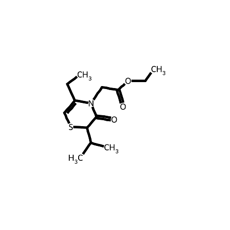 CCOC(=O)CN1C(=O)C(C(C)C)SC=C1CC